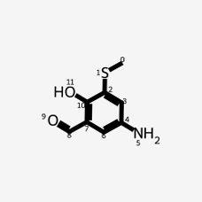 CSc1cc(N)cc(C=O)c1O